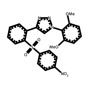 COc1cccc(OC)c1-n1cc(-c2ccccc2S(=O)(=O)c2ccc([N+](=O)[O-])cc2)nn1